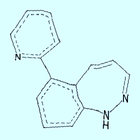 C1=Cc2c(cccc2-c2ccccn2)NN=C1